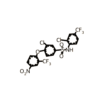 O=[N+]([O-])c1ccc(Oc2ccc(S(=O)(=O)Nc3ccc(C(F)(F)F)cc3Cl)cc2Cl)c(C(F)(F)F)c1